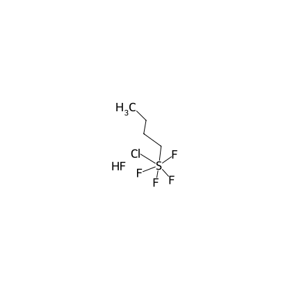 CCCCS(F)(F)(F)(F)Cl.F